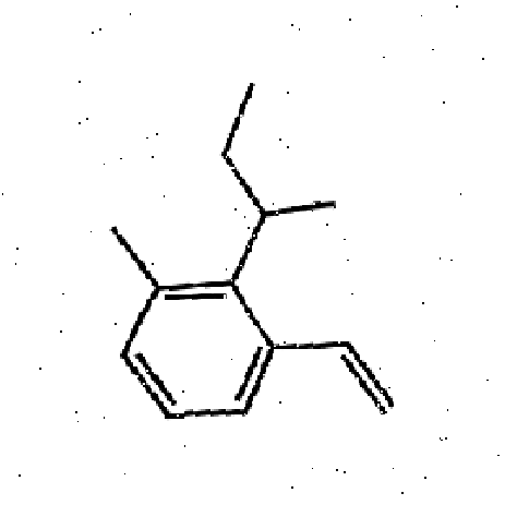 C=Cc1cccc(C)c1C(C)CC